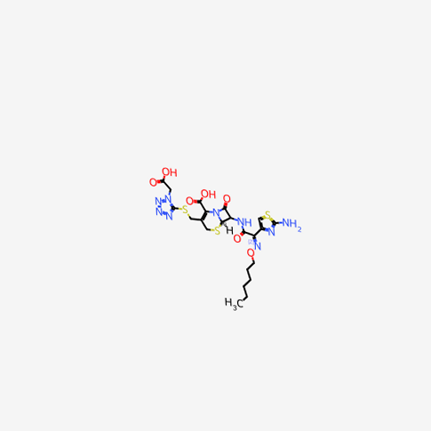 CCCCCCO/N=C(\C(=O)NC1C(=O)N2C(C(=O)O)=C(CSc3nnnn3CC(=O)O)CS[C@H]12)c1csc(N)n1